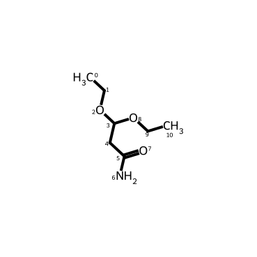 CCOC(CC(N)=O)OCC